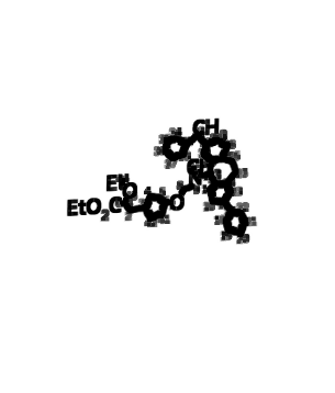 CCOC(=O)C(Cc1ccc(OCCN(C)C2c3ccc(-c4ccccc4)cc3CCc3ccc(C(C)c4ccccc4)cc32)cc1)OCC